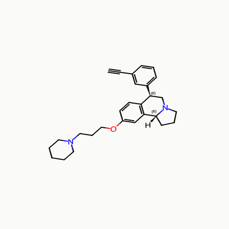 C#Cc1cccc([C@H]2CN3CCC[C@@H]3c3cc(OCCCN4CCCCC4)ccc32)c1